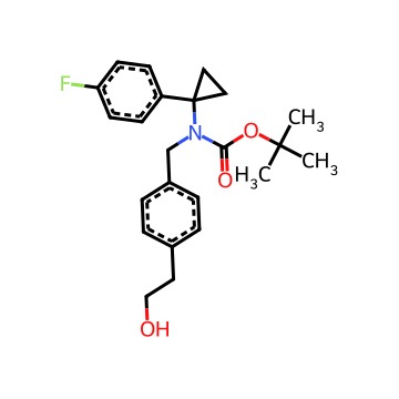 CC(C)(C)OC(=O)N(Cc1ccc(CCO)cc1)C1(c2ccc(F)cc2)CC1